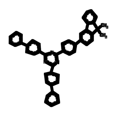 CC1(C)c2ccccc2-c2cc(-c3ccc(-c4nc(-c5ccc(-c6ccccc6)cc5)nc(-c5ccc(-c6ccccc6)cc5)n4)cc3)ccc21